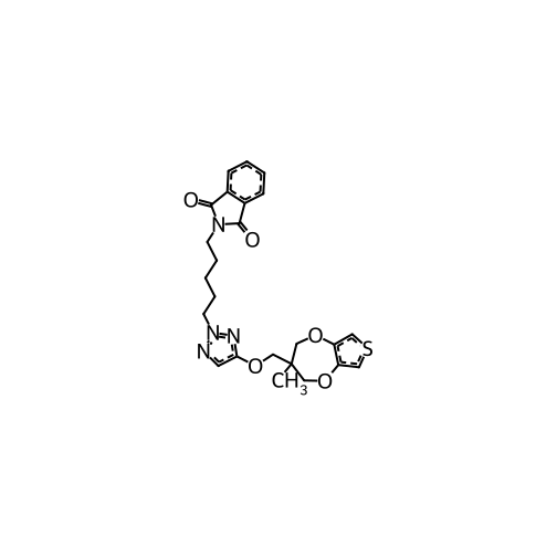 CC1(COc2cnn(CCCCCN3C(=O)c4ccccc4C3=O)n2)COc2cscc2OC1